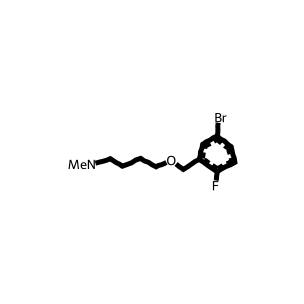 CNCCCCOCc1cc(Br)ccc1F